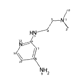 CN(C)CCNc1cc(N)ccn1